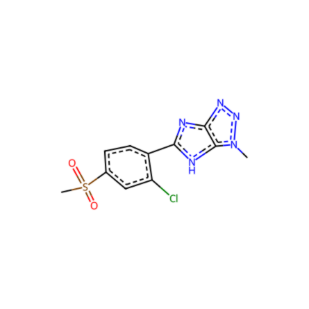 Cn1nnc2nc(-c3ccc(S(C)(=O)=O)cc3Cl)[nH]c21